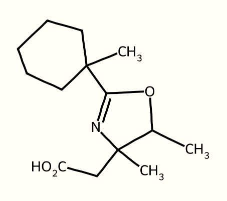 CC1OC(C2(C)CCCCC2)=NC1(C)CC(=O)O